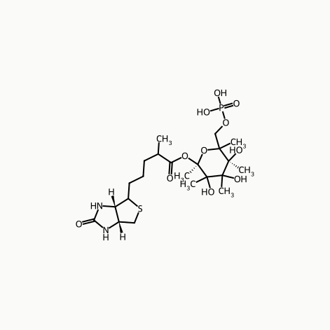 CC(CCCC1SC[C@@H]2NC(=O)N[C@H]12)C(=O)O[C@@]1(C)OC(C)(COP(=O)(O)O)[C@@](C)(O)C(C)(O)C1(C)O